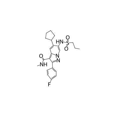 CCCS(=O)(=O)Nc1cn2nc(-c3ccc(F)cc3)c(C(=O)NC)c2cc1C1CCCC1